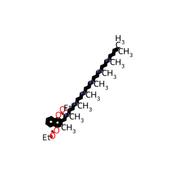 CCOCOc1c(C)c(C/C=C(\C)CC/C=C(\C)CC/C=C(\C)CC/C=C(\C)CC/C=C(\C)CC/C=C(\C)CCC=C(C)C)c(OCOCC)c2ccccc12